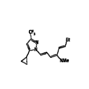 CCC=C/C(=C\C=C\n1nc(C(F)(F)F)cc1C1CC1)NC